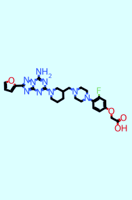 Nc1nc(N2CCCC(CN3CCN(c4ccc(OCC(=O)O)cc4F)CC3)C2)nc2nc(-c3ccco3)nn12